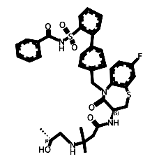 C[C@@H](O)CNC(C)(C)CC(=O)N[C@@H]1CSc2cc(F)ccc2N(Cc2ccc(-c3ccccc3S(=O)(=O)NC(=O)c3ccccc3)cc2)C1=O